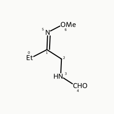 CC/C(CNC=O)=N/OC